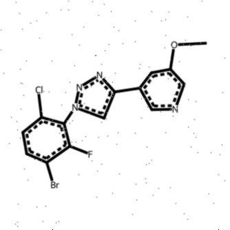 COc1cncc(-c2cn(-c3c(Cl)ccc(Br)c3F)nn2)c1